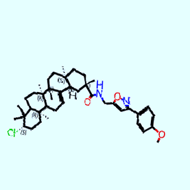 COc1ccc(-c2cc(CNC(=O)[C@@]3(C)CC[C@]4(C)CC[C@]5(C)C(=CCC6[C@@]7(C)CC[C@H](Cl)C(C)(C)C7CC[C@]65C)[C@@H]4C3)on2)cc1